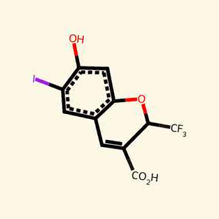 O=C(O)C1=Cc2cc(I)c(O)cc2OC1C(F)(F)F